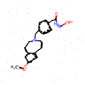 COc1ccc2c(c1)CCN(Cc1ccc(C(=O)NO)cc1)CC2